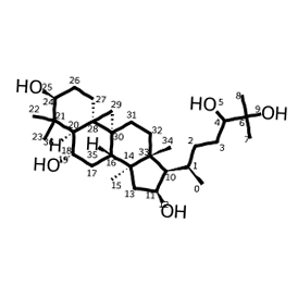 C[C@H](CCC(O)C(C)(C)O)[C@H]1[C@@H](O)C[C@@]2(C)[C@@H]3C[C@H](O)[C@H]4C(C)(C)[C@@H](O)CC[C@@]45C[C@]35CC[C@]12C